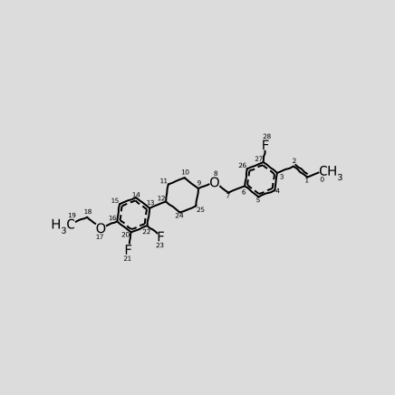 C/C=C/c1ccc(COC2CCC(c3ccc(OCC)c(F)c3F)CC2)cc1F